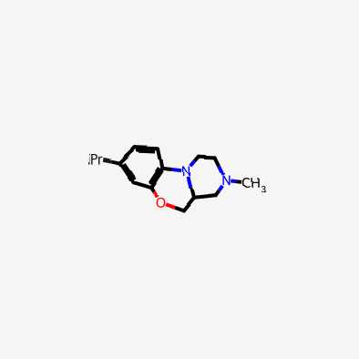 CC(C)c1ccc2c(c1)OCC1CN(C)CCN21